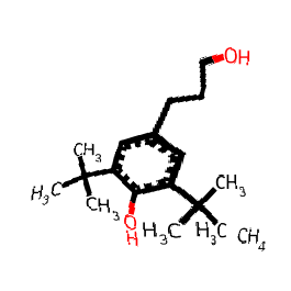 C.CC(C)(C)c1cc(CCCO)cc(C(C)(C)C)c1O